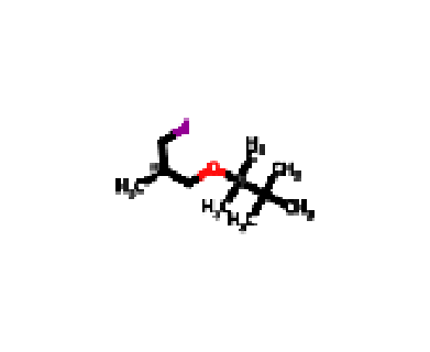 C[C@@H](CI)CO[Si](C)(C)C(C)(C)C